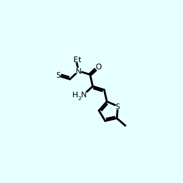 CCN(C=S)C(=O)/C(N)=C/c1ccc(C)s1